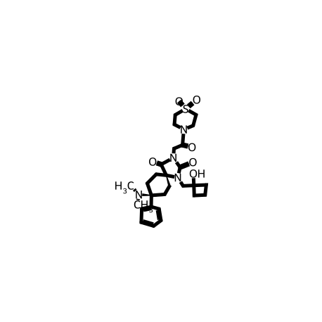 CN(C)[C@]1(c2ccccc2)CC[C@@]2(CC1)C(=O)N(CC(=O)N1CCS(=O)(=O)CC1)C(=O)N2CC1(O)CCC1